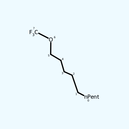 CCCCCCCCCCOC(F)(F)F